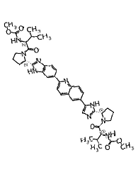 COC(=O)N[C@H](C(=O)N1CCC[C@H]1c1ncc(-c2ccc3nc(-c4ccc5nc([C@@H]6CCCN6C(=O)[C@@H](NC(=O)OC)C(C)C)[nH]c5c4)ccc3c2)[nH]1)C(C)C